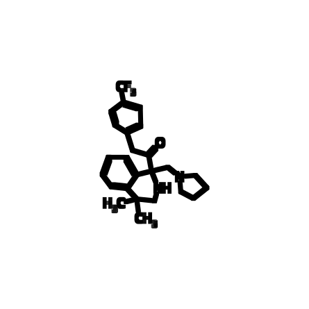 CC1(C)CNC(CN2CCCC2)(C(=O)Cc2ccc(C(F)(F)F)cc2)c2ccccc21